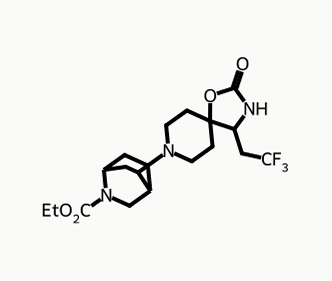 CCOC(=O)N1CC2CCC1CC2N1CCC2(CC1)OC(=O)NC2CC(F)(F)F